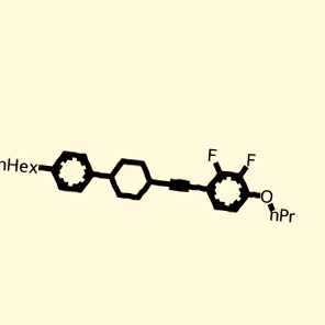 CCCCCCc1ccc(C2CCC(C#Cc3ccc(OCCC)c(F)c3F)CC2)cc1